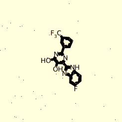 Oc1nc(-c2cccc(C(F)(F)F)c2)nc(-c2nc3cc(F)ccc3[nH]2)c1O